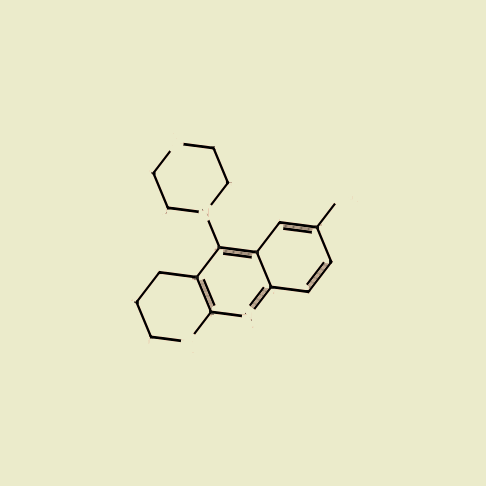 CC(C)(C)c1ccc2nc3c(c(N4CCOCC4)c2c1)CCCO3